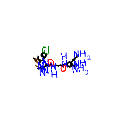 Cc1sc2c(c1C)C(c1ccc(Cl)cc1)=N[C@@H](CC(=O)NCCCC(=O)Nc1ccc(C(=N)N)c(C#CCN)c1)c1nnc(C)n1-2